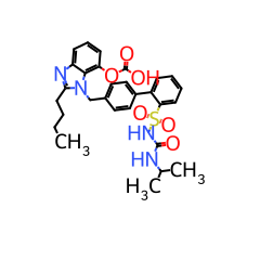 CCCCc1nc2cccc(OC(=O)O)c2n1Cc1ccc(-c2ccccc2S(=O)(=O)NC(=O)NC(C)C)cc1